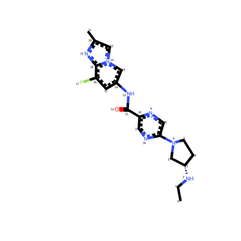 CCN[C@H]1CCN(c2cnc(C(=O)Nc3cc(F)c4nc(C)cn4c3)cn2)C1